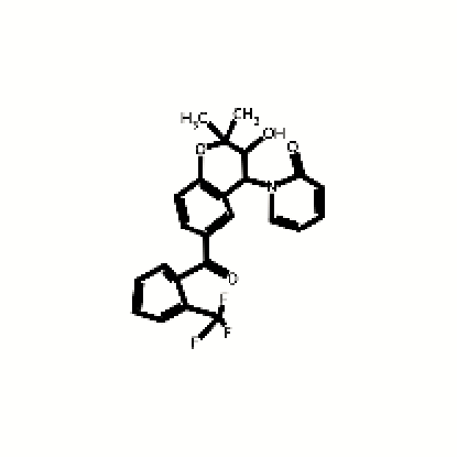 CC1(C)Oc2ccc(C(=O)c3ccccc3C(F)(F)F)cc2C(n2ccccc2=O)C1O